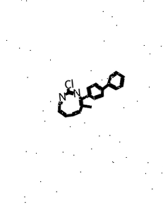 Cc1cccccnc(Cl)nc1-c1ccc(-c2ccccc2)cc1